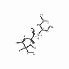 C=C(/C=C(/C)C(C)(CC)CC)C(=O)NC(CC)CC(C)C